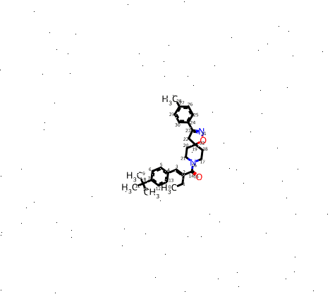 CCC(=Cc1ccc(C(C)(C)C)cc1)C(=O)N1CCC2(CC1)CC(c1ccc(C)cc1)=NO2